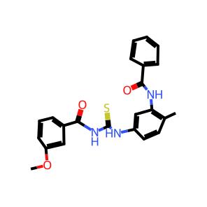 COc1cccc(C(=O)NC(=S)Nc2ccc(C)c(NC(=O)c3ccccc3)c2)c1